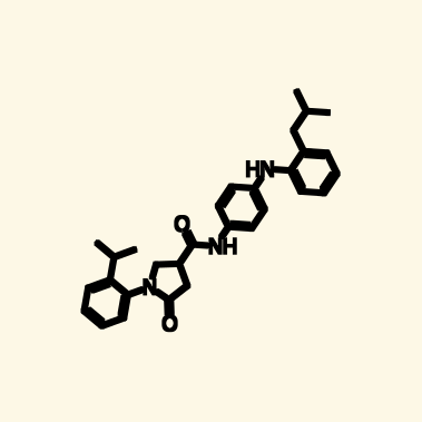 CC(C)Cc1ccccc1Nc1ccc(NC(=O)C2CC(=O)N(c3ccccc3C(C)C)C2)cc1